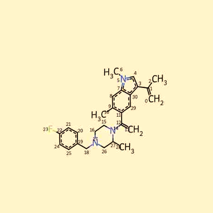 C=C(C)c1cn(C)c2cc(C)c(C(=C)N3CCN(Cc4ccc(F)cc4)CC3C)cc12